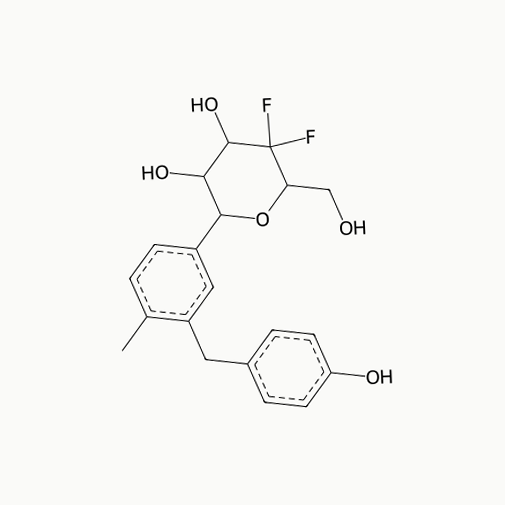 Cc1ccc(C2OC(CO)C(F)(F)C(O)C2O)cc1Cc1ccc(O)cc1